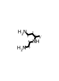 [CH2]C(CCN)NCCN